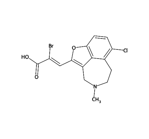 CN1CCc2c(Cl)ccc3oc(/C=C(\Br)C(=O)O)c(c23)C1